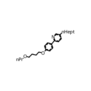 CCCCCCCc1ccc(-c2ccc(OCCCCOCCC)cc2)nc1